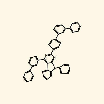 c1ccc(-c2cccc(-c3ccc(-c4nc(-c5cccc(-c6ccccc6)c5)c5c6ccccc6n(-c6ccccc6)c5n4)cc3)c2)cc1